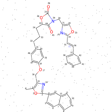 Cc1oc(-c2ccc3ccccc3c2)nc1COc1ccc(CCCC2OC(=O)N(Cc3coc(/C=C/c4ccccc4)n3)C2=O)cc1